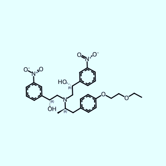 CCOCCOc1ccc(C[C@@H](C)N(C[C@H](O)c2cccc([N+](=O)[O-])c2)C[C@H](O)c2cccc([N+](=O)[O-])c2)cc1